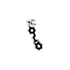 O=P(O)(O)Oc1ccc(/C=C/c2nc3ccccc3s2)cc1